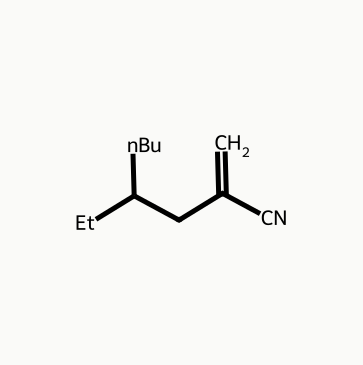 C=C(C#N)CC(CC)CCCC